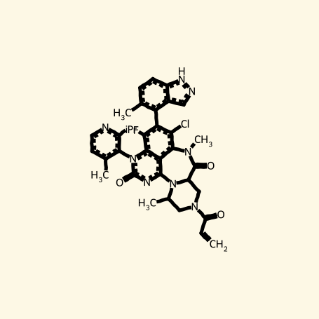 C=CC(=O)N1CC(C)N2c3nc(=O)n(-c4c(C)ccnc4C(C)C)c4c(F)c(-c5c(C)ccc6[nH]ncc56)c(Cl)c(c34)N(C)C(=O)C2C1